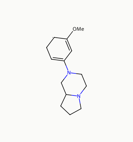 COC1=CC(N2CCN3CCCC3C2)=CC[CH]1